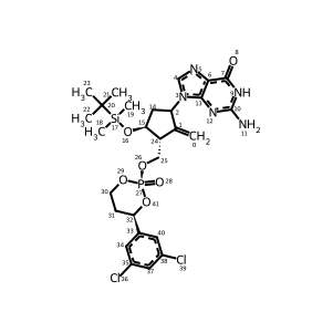 C=C1C(n2cnc3c(=O)[nH]c(N)nc32)C[C@H](O[Si](C)(C)C(C)(C)C)[C@H]1CO[P@]1(=O)OCC[C@H](c2cc(Cl)cc(Cl)c2)O1